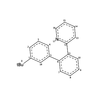 CC(C)(C)c1cccc(-c2ccccc2-c2ccccn2)c1